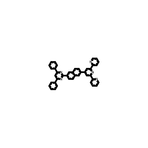 c1ccc(-c2cc(-c3ccccc3)nc(-c3ccc4cc(-c5cc(-c6ccccn6)nc(-c6ccccn6)c5)ccc4c3)n2)cc1